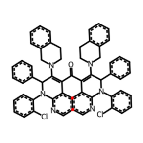 O=C(C1=C(N2CCc3ccccc3C2)C(c2ccccc2)N(c2ccccc2Cl)c2ncccc21)C1=C(N2CCc3ccccc3C2)C(c2ccccc2)N(c2ccccc2Cl)c2ncccc21